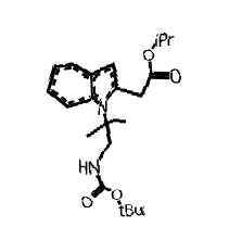 CC(C)OC(=O)Cc1cc2ccccc2n1C(C)(C)CNC(=O)OC(C)(C)C